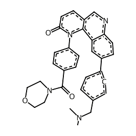 CN(C)Cc1ccc(-c2ccc3ncc4ccc(=O)n(-c5ccc(C(=O)N6CCOCC6)cc5)c4c3c2)cc1